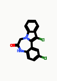 O=C1Cn2c(c(Cl)c3ccccc32)-c2cc(Cl)ccc2N1